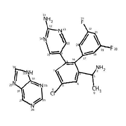 CC(N)c1cc(Cl)cc(-c2cnc(N)nc2)c1-c1cc(F)cc(F)c1.c1ncc2nc[nH]c2n1